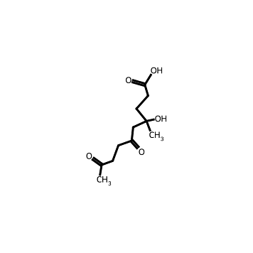 CC(=O)CCC(=O)CC(C)(O)CCC(=O)O